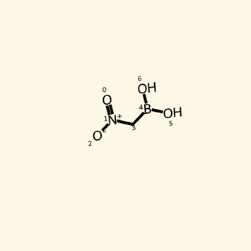 O=[N+]([O-])CB(O)O